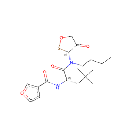 CCCCN(C(=O)[C@H](CC(C)(C)C)NC(=O)c1ccoc1)[C@@H]1SOCC1=O